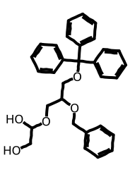 OCC(O)OCC(COC(c1ccccc1)(c1ccccc1)c1ccccc1)OCc1ccccc1